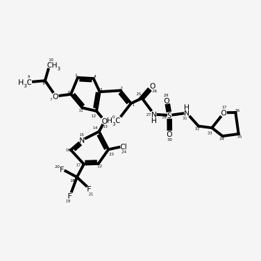 CC(=Cc1ccc(OC(C)C)cc1Oc1ncc(C(F)(F)F)cc1Cl)C(=O)NS(=O)(=O)NCC1CCCO1